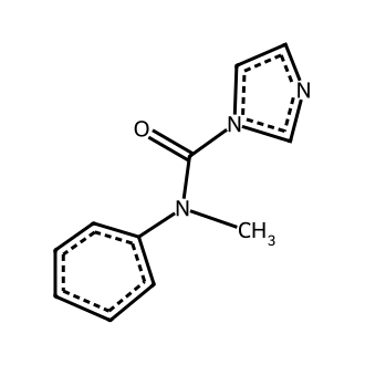 CN(C(=O)n1ccnc1)c1ccccc1